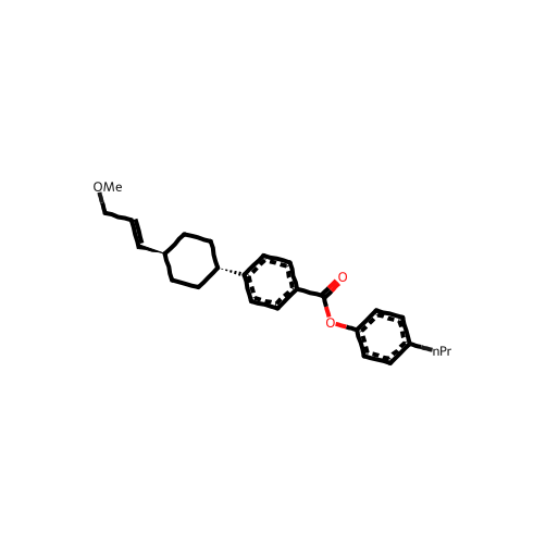 CCCc1ccc(OC(=O)c2ccc([C@H]3CC[C@H](C=CCOC)CC3)cc2)cc1